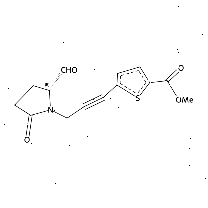 COC(=O)c1ccc(C#CCN2C(=O)CC[C@@H]2C=O)s1